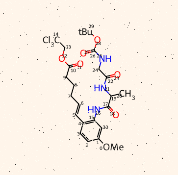 COc1ccc(/C=C/CCCC(=O)OCC(Cl)(Cl)Cl)c(NC(=O)C(C)NC(=O)CNC(=O)OC(C)(C)C)c1